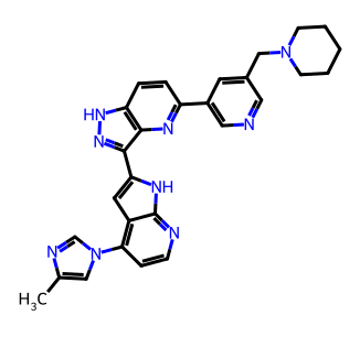 Cc1cn(-c2ccnc3[nH]c(-c4n[nH]c5ccc(-c6cncc(CN7CCCCC7)c6)nc45)cc23)cn1